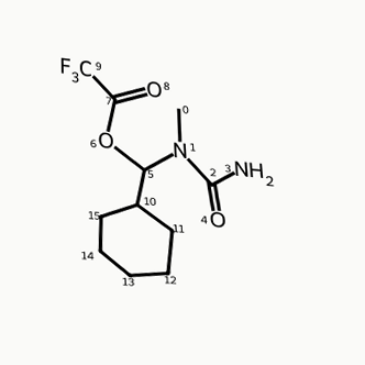 CN(C(N)=O)C(OC(=O)C(F)(F)F)C1CCCCC1